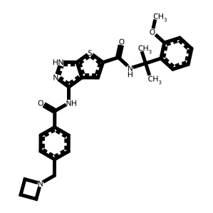 COc1ccccc1C(C)(C)NC(=O)c1cc2c(NC(=O)c3ccc(CN4CCC4)cc3)n[nH]c2s1